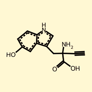 C#CC(N)(Cc1c[nH]c2ccc(O)cc12)C(=O)O